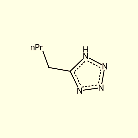 CCCCc1nnn[nH]1